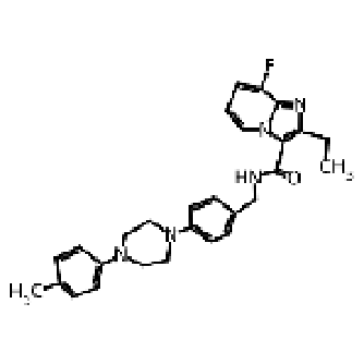 CCc1nc2c(F)cccn2c1C(=O)NCc1ccc(N2CCN(c3ccc(C)cc3)CC2)cc1